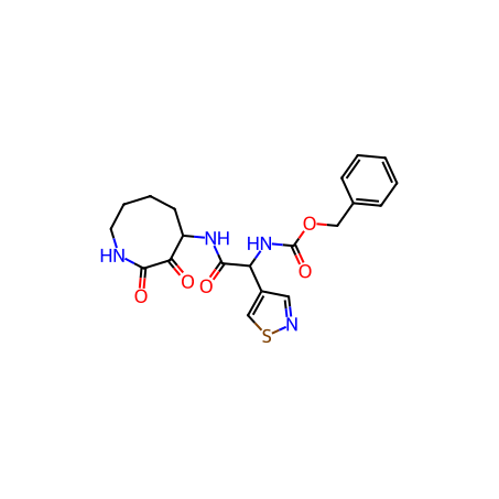 O=C(NC(C(=O)NC1CCCCNC(=O)C1=O)c1cnsc1)OCc1ccccc1